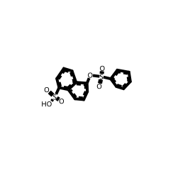 O=S(=O)(O)c1cccc2c(OS(=O)(=O)c3ccccc3)cccc12